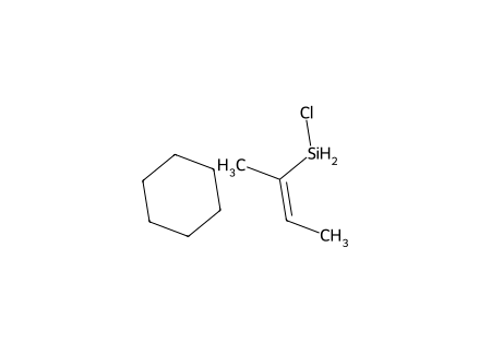 C1CCCCC1.CC=C(C)[SiH2]Cl